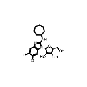 OC[C@@H]1O[C@@H](n2c(NC3CCCCCC3)nc3cc(Cl)c(Cl)cc32)[C@H](O)[C@H]1O